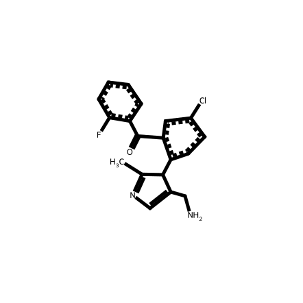 CC1=NC=C(CN)C1c1ccc(Cl)cc1C(=O)c1ccccc1F